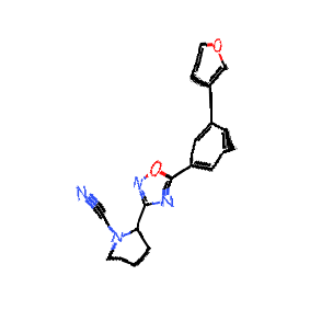 N#CN1CCCC1c1noc(-c2cccc(-c3ccoc3)c2)n1